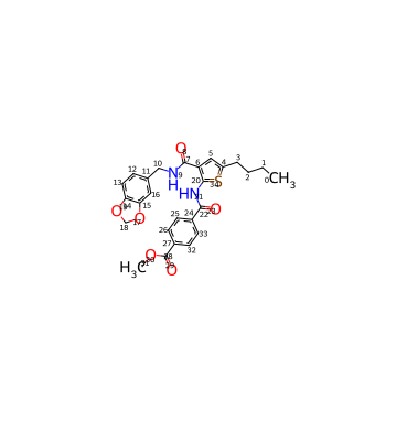 CCCCc1cc(C(=O)NCc2ccc3c(c2)OCO3)c(NC(=O)c2ccc(C(=O)OC)cc2)s1